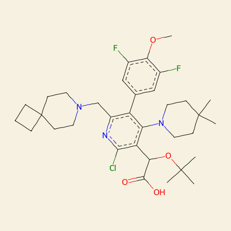 COc1c(F)cc(-c2c(CN3CCC4(CCC4)CC3)nc(Cl)c(C(OC(C)(C)C)C(=O)O)c2N2CCC(C)(C)CC2)cc1F